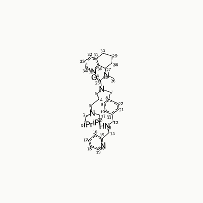 CC(C)CN(CCCN(Cc1ccc(CNCc2ccccn2)cc1)C(=O)N(C)C1CCCc2cccnc21)CC(C)C